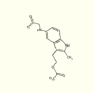 CC(=O)OCCc1c(C)[nH]c2ccc(NC[SH](=O)=O)cc12